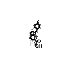 Cc1ccc(Cn2ccc3ccc(C(=O)NO)nc32)cc1